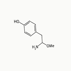 COC(N)Cc1ccc(O)cc1